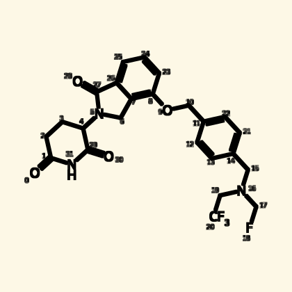 O=C1CCC(N2Cc3c(OCc4ccc(CN(CF)CC(F)(F)F)cc4)cccc3C2=O)C(=O)N1